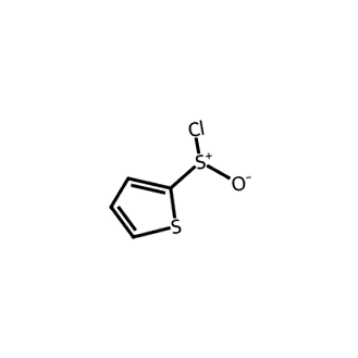 [O-][S+](Cl)c1cccs1